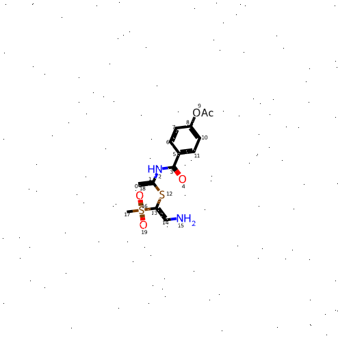 C=C(NC(=O)c1ccc(OC(C)=O)cc1)S/C(=C\N)S(C)(=O)=O